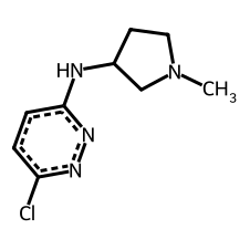 CN1CCC(Nc2ccc(Cl)nn2)C1